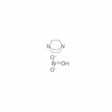 C1CN2CCN1CC2.[O-][Br+2]([O-])O